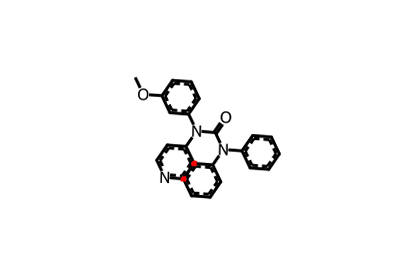 COc1cccc(N(C(=O)N(c2ccccc2)c2ccccc2)c2ccncc2)c1